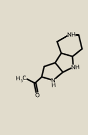 CC(=O)C1CC2C(N1)NC1CCNCC12